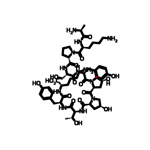 C[C@H](N)C(=O)N[C@@H](CCCCN)C(=O)N1CCC[C@H]1C(=O)N[C@@H](CO)C(=O)N[C@@H](Cc1ccc(O)cc1)C(=O)N1C[C@H](O)C[C@H]1C(=O)N1C[C@H](O)C[C@H]1C(=O)N[C@H](C(=O)N[C@@H](Cc1ccc(O)cc1)C(=O)N[C@@H](CCCCN)C(=O)O)[C@@H](C)O